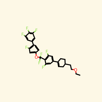 CCOCCC1CC=C(c2cc(F)c(C(F)(F)Oc3ccc(-c4cc(F)c(F)c(F)c4)c(F)c3)c(F)c2)CC1